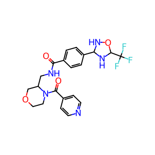 O=C(NCC1COCCN1C(=O)c1ccncc1)c1ccc(C2NOC(C(F)(F)F)N2)cc1